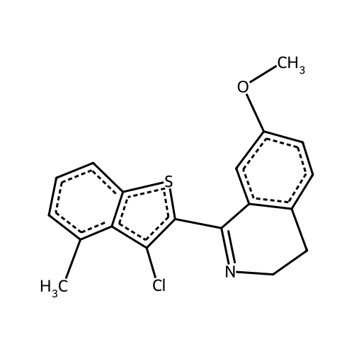 COc1ccc2c(c1)C(c1sc3cccc(C)c3c1Cl)=NCC2